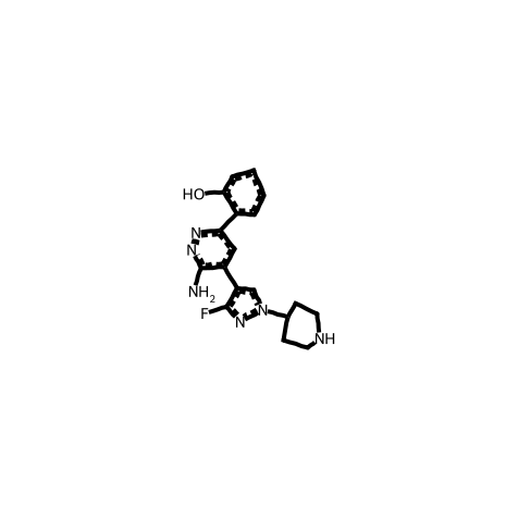 Nc1nnc(-c2ccccc2O)cc1-c1cn(C2CCNCC2)nc1F